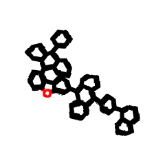 c1ccc(-c2c3ccccc3c(-c3cccc4oc5cc(-c6c7ccccc7c(-c7ccc(-c8cccc9ccccc89)cc7)c7ccccc67)ccc5c34)c3ccccc23)cc1